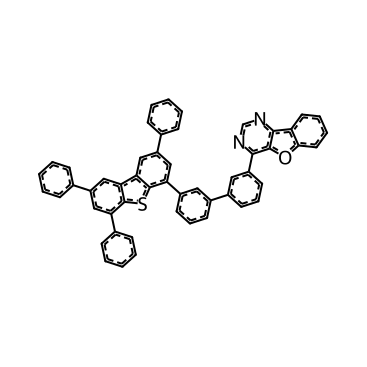 c1ccc(-c2cc(-c3ccccc3)c3sc4c(-c5cccc(-c6cccc(-c7ncnc8c7oc7ccccc78)c6)c5)cc(-c5ccccc5)cc4c3c2)cc1